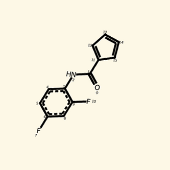 O=C(Nc1ccc(F)cc1F)C1=CC=C=C1